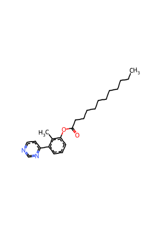 CCCCCCCCCCCC(=O)Oc1cccc(-c2ccncn2)c1C